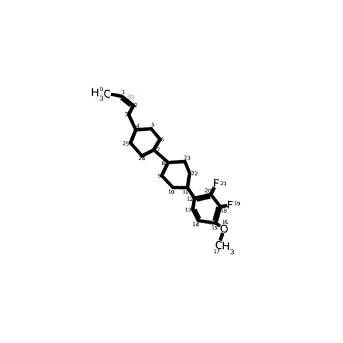 C/C=C\CC1CCC(C2CCC(c3ccc(OC)c(F)c3F)CC2)CC1